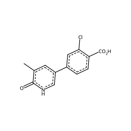 Cc1cc(-c2ccc(C(=O)O)c(Cl)c2)c[nH]c1=O